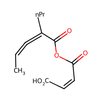 CC=C=C(CCC)C(=O)OC(=O)/C=C\C(=O)O